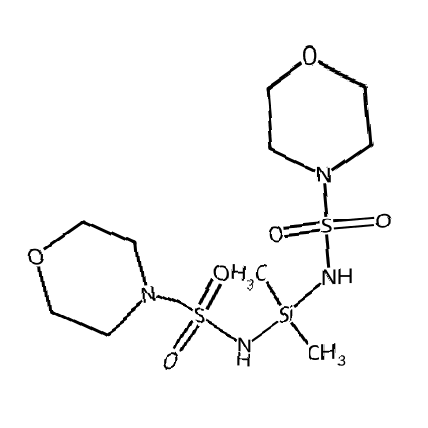 C[Si](C)(NS(=O)(=O)N1CCOCC1)NS(=O)(=O)N1CCOCC1